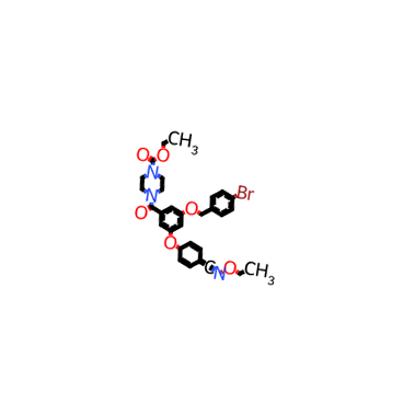 CCON=C=C1C=CC(Oc2cc(OCc3ccc(Br)cc3)cc(C(=O)N3CCN(C(=O)OCC)CC3)c2)C=C1